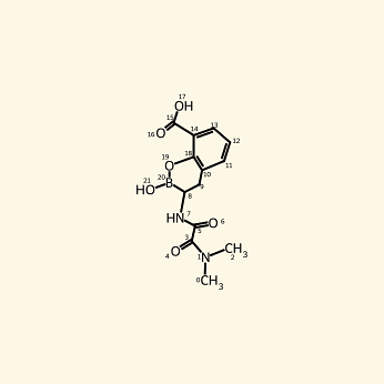 CN(C)C(=O)C(=O)NC1Cc2cccc(C(=O)O)c2OB1O